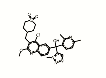 COc1nc2ccc(C(O)(c3ccc(C)nc3C)c3cnnn3C)cc2c(Cl)c1CC1CCS(=O)(=O)CC1